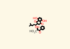 C=C(C(=O)O)C(=O)c1ccccc1.CC(C)=CCC(O)C1=CC(=O)c2c(O)ccc(O)c2C1=O